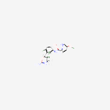 CC1(C)N=C(N)O[C@](C)(c2cc(NC(=O)c3ccc(OCF)cn3)ccc2F)C1(F)F